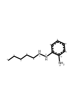 CCCCCNNc1ccccc1N